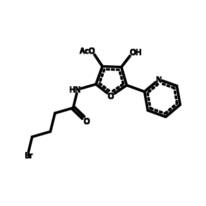 CC(=O)Oc1c(NC(=O)CCCBr)oc(-c2ccccn2)c1O